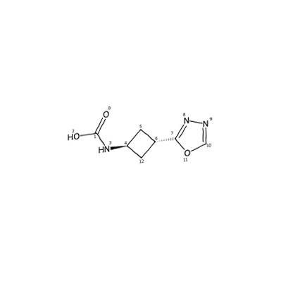 O=C(O)N[C@H]1C[C@H](c2nnco2)C1